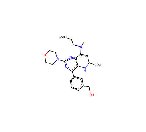 COCCN(C)C1=CC(C(=O)O)Nc2c1nc(N1CCOCC1)nc2-c1cccc(CO)c1